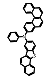 c1ccc(N(c2ccc3c(ccc4ccc5ccccc5c43)c2)c2ccc3sc4c5ccccc5ccc4c3c2)cc1